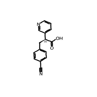 N#Cc1ccc(C[C@H](C(=O)O)c2cccnc2)cc1